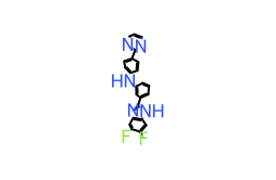 Fc1cc2nc(-c3cccc(Nc4ccc(-c5ncccn5)cc4)c3)[nH]c2cc1F